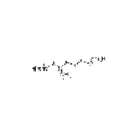 CCCCCCC(N)CCCCC(=O)O